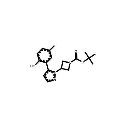 CC(C)(C)OC(=O)N1CC(n2nccc2-c2cc(I)ccc2O)C1